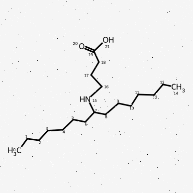 CCCCCCCC(CCCCCCC)NCCCC(=O)O